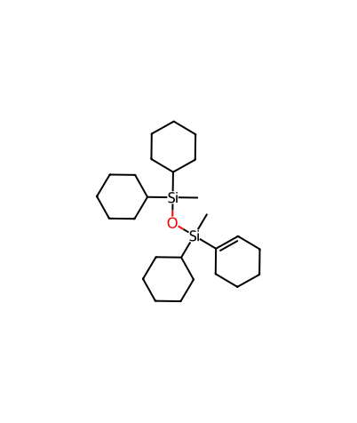 C[Si](O[Si](C)(C1CCCCC1)C1CCCCC1)(C1=CCCCC1)C1CCCCC1